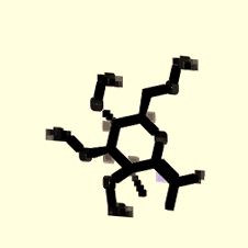 CCCCOC[C@H]1O/C(=C(/C)F)[C@@](C)(OCCCC)[C@@H](OCCCC)[C@@H]1OCCCC